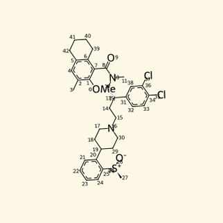 COc1c(C)cc2c(c1C(=O)N(C)C[C@@H](CCN1CCC(c3ccccc3[S@+](C)[O-])CC1)c1ccc(Cl)c(Cl)c1)CCCC2